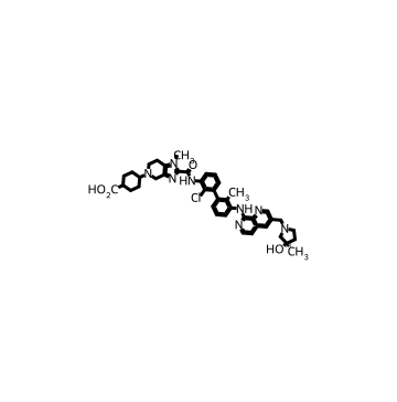 Cc1c(Nc2nccc3cc(CN4CC[C@](C)(O)C4)cnc23)cccc1-c1cccc(NC(=O)c2nc3c(n2C)CCN(C2CCC(C(=O)O)CC2)C3)c1Cl